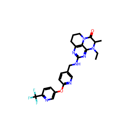 CCN1c2nc(NCc3ccc(Oc4ccc(C(F)(F)F)nc4)nc3)nc3c2N(CCC3)C(=O)C1C